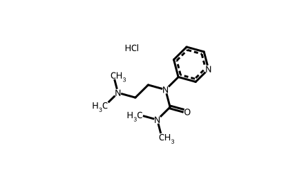 CN(C)CCN(C(=O)N(C)C)c1cccnc1.Cl